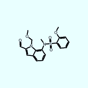 COCn1c(C=O)cc2cccc(N(C)S(=O)(=O)c3ccccc3OC)c21